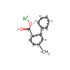 Cc1ccc(C(=O)OBr)c(-c2ccccc2)c1